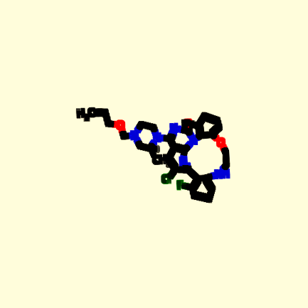 C=CCOCN1CCN(c2nc(=O)n3c4nc(c(Cl)cc24)-c2c(F)cccc2NCCOc2cccc(C(C)C)c2-3)[C@@H](C)C1